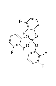 O=P(Oc1cccc(F)c1F)(Oc1cccc(F)c1F)Oc1cccc(F)c1F